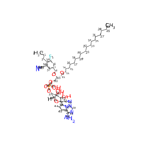 C=CCc1c(F)cc(CO[C@H](COCCCCCCCCCCCCCCCCCC)COP(=O)(O)OC2[C@H]3O[C@@](C#N)(c4ccc5c(N)ncnn45)[C@H](O)[C@@]23O)cc1C#N